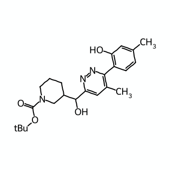 Cc1ccc(-c2nnc(C(O)C3CCCN(C(=O)OC(C)(C)C)C3)cc2C)c(O)c1